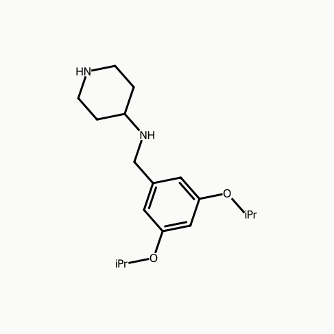 CC(C)Oc1cc(CNC2CCNCC2)cc(OC(C)C)c1